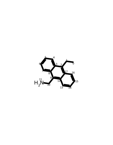 CCc1c2ccccc2c(CN)c2ccccc12